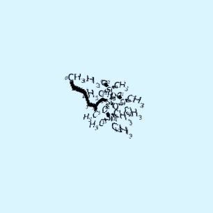 CCCCC(C)C[Si](O[Si](C)(C)C)(O[Si](C)(C)C)O[Si](C)(C)C